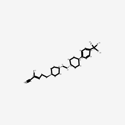 N#CC(F)=CCC[C@H]1CC[C@H](CC[C@H]2CC[C@H](c3ccc(C(F)(F)F)cc3)CC2)CC1